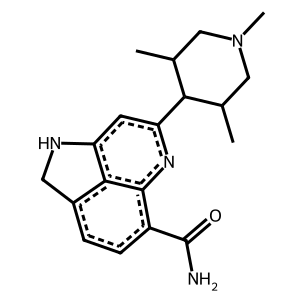 CC1CN(C)CC(C)C1c1cc2c3c(ccc(C(N)=O)c3n1)CN2